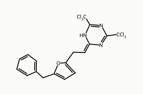 ClC(Cl)(Cl)C1=NC(=CCc2ccc(Cc3ccccc3)o2)NC(C(Cl)(Cl)Cl)=N1